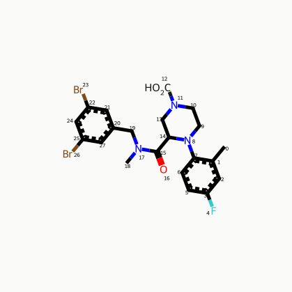 Cc1cc(F)ccc1N1CCN(C(=O)O)CC1C(=O)N(C)Cc1cc(Br)cc(Br)c1